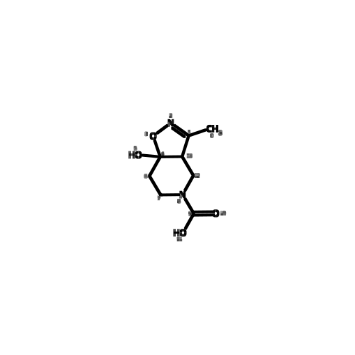 CC1=NOC2(O)CCN(C(=O)O)CC12